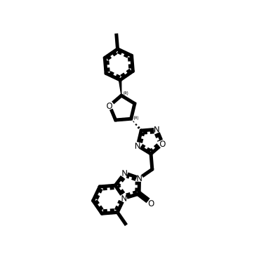 Cc1ccc([C@H]2C[C@H](c3noc(Cn4nc5cccc(C)n5c4=O)n3)CO2)cc1